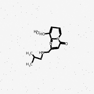 CC(C)CNCc1cc(=O)n2cccc(O)c2n1.[Cl-].[H+]